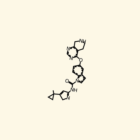 CC1(C2=CC(NC(=O)n3ccc4cc(Oc5ncnc6c5CCNC6)ccc43)=NC2)CC1